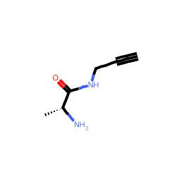 C#CCNC(=O)[C@@H](C)N